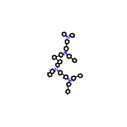 c1ccc(-c2ccc(N(c3ccc(-c4ccccc4)cc3)c3ccc(-c4ccc(N(c5ccc6ccccc6c5)c5ccc6c(-c7ccccc7-c7ccc(N(c8ccc(-c9ccccc9)cc8)c8ccc(-c9ccc(N(c%10ccccc%10)c%10ccccc%10)cc9)cc8)cc7)cccc6c5)cc4)cc3)cc2)cc1